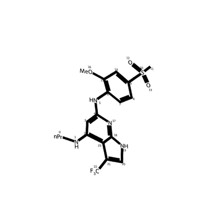 CCCNc1cc(Nc2ccc(S(C)(=O)=O)cc2OC)nc2[nH]cc(C(F)(F)F)c12